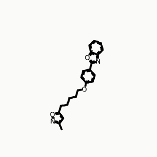 Cc1cc(CCCCCOc2ccc(-c3nc4ccccc4o3)cc2)on1